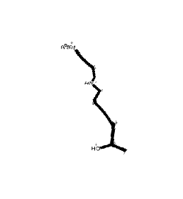 CCCCCCNCCCC(C)O